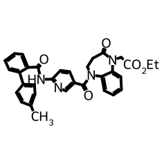 CCOC(=O)CN1C(=O)CCN(C(=O)c2ccc(NC(=O)c3ccccc3-c3ccc(C)cc3)nc2)c2ccccc21